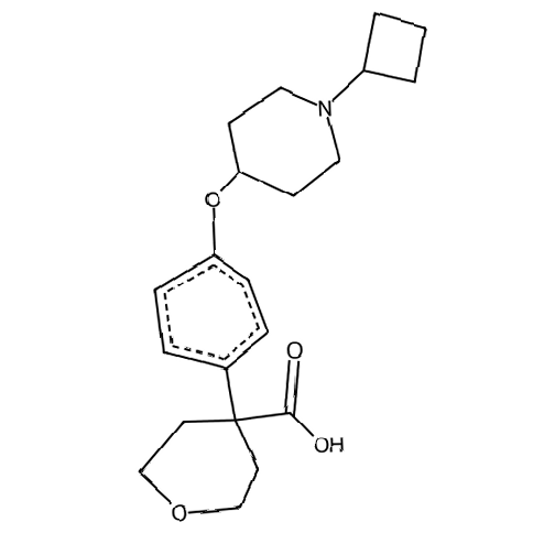 O=C(O)C1(c2ccc(OC3CCN(C4CCC4)CC3)cc2)CCOCC1